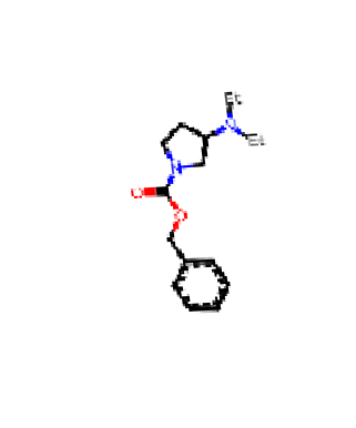 CCN(CC)C1CCN(C(=O)OCc2ccccc2)C1